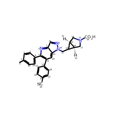 Cc1ccc(-c2nc3cnn(CC4[C@H]5CN(C(=O)O)C[C@@H]45)c3cc2-c2ccc(C#N)cc2)cc1